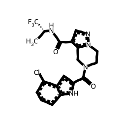 C[C@@H](NC(=O)c1cnn2c1CN(C(=O)c1cc3c(Cl)cccc3[nH]1)CC2)C(F)(F)F